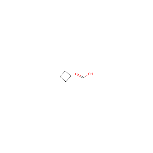 C1CCC1.O=CO